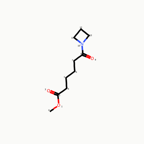 COC(=O)CCCCC(=O)N1CCC1